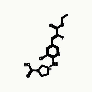 CCOC(=O)C(F)=Cc1cnc(N[C@@H]2CCN(C(=O)O)C2)c(Cl)c1